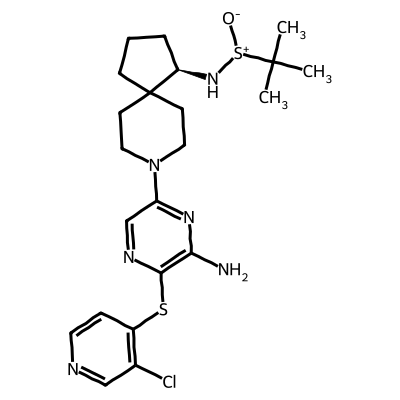 CC(C)(C)[S+]([O-])N[C@@H]1CCCC12CCN(c1cnc(Sc3ccncc3Cl)c(N)n1)CC2